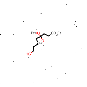 CCOC(=O)CCC(CCCCO)(OCC)OCC